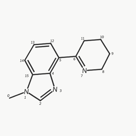 Cn1cnc2c(C3=NCCCC3)cccc21